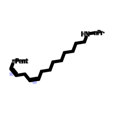 CC[CH]NCCCCCCCC/C=C\C/C=C\CCCCC